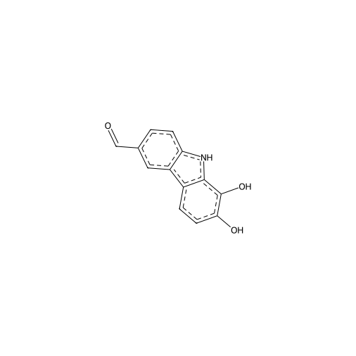 O=Cc1ccc2[nH]c3c(O)c(O)ccc3c2c1